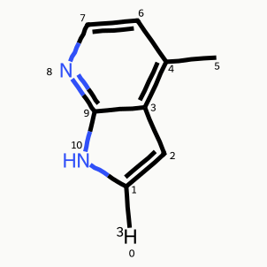 [3H]c1cc2c(C)ccnc2[nH]1